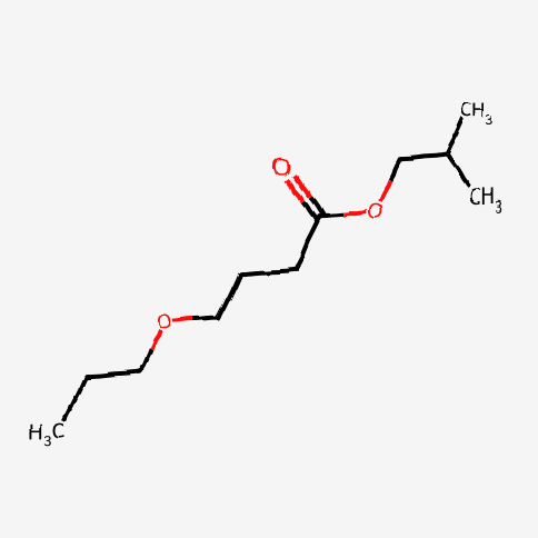 CCCOCCCC(=O)OCC(C)C